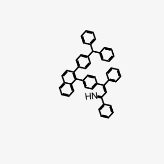 N=C(/C=C(/c1ccccc1)c1ccc(-c2c(-c3ccc(C(c4ccccc4)c4ccccc4)cc3)ccc3ccccc23)cc1)c1ccccc1